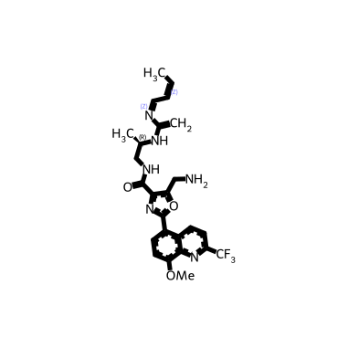 C=C(/N=C\C=C/C)N[C@H](C)CNC(=O)c1nc(-c2ccc(OC)c3nc(C(F)(F)F)ccc23)oc1CN